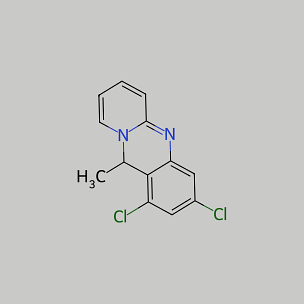 CC1c2c(Cl)cc(Cl)cc2N=C2C=CC=CN21